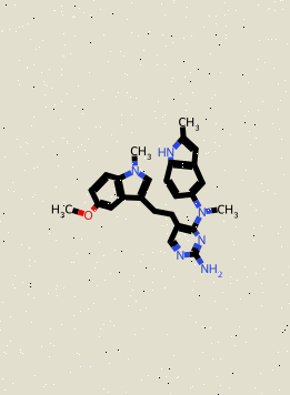 COc1ccc2c(c1)c(CCc1cnc(N)nc1N(C)c1ccc3[nH]c(C)cc3c1)cn2C